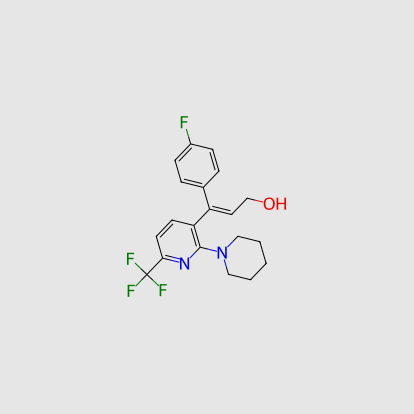 OC/C=C(\c1ccc(F)cc1)c1ccc(C(F)(F)F)nc1N1CCCCC1